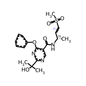 C[C@@H](/C=C/S(C)(=O)=O)NC(=O)c1cnc(C(C)(C)O)nc1Oc1ccccc1